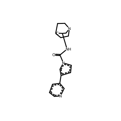 O=C(NC1CC2CCN(CC2)C1)n1ccc(-c2cccnc2)c1